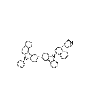 c1ccc(-n2c3ccc(-c4ccc5c(c4)c4ccccc4n5-c4ccc5c6c(cccc46)-c4cnccc4-5)cc3c3c4ccccc4ccc32)cc1